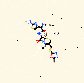 CO/N=C(\C(=O)NC1C(=O)N2C(C(=O)[O-])=C(CSc3nnc(C)o3)CS[C@H]12)c1csc(N)n1.[Na+]